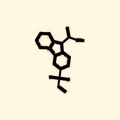 C=CS(=O)(=O)c1ccc2c(C(=O)OC)c3ccccn3c2c1